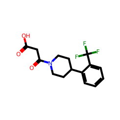 O=C(O)CC(=O)N1CCC(c2ccccc2C(F)(F)F)CC1